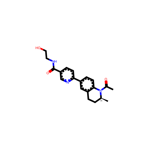 CC(=O)N1c2ccc(-c3ccc(C(=O)NCCO)cn3)cc2CC[C@@H]1C